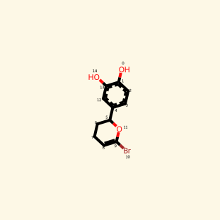 Oc1ccc(C2CCC=C(Br)O2)cc1O